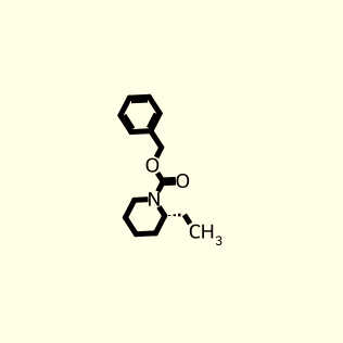 CC[C@@H]1CCCCN1C(=O)OCc1ccccc1